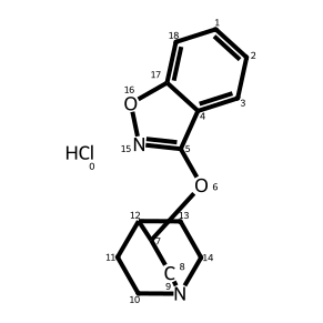 Cl.c1ccc2c(OC3CN4CCC3CC4)noc2c1